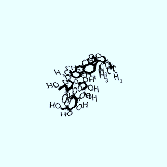 CC(C)=C[C@H]1CO[C@]23C[C@]4(CO2)C(CCC2[C@@]5(C)CC[C@H](O[C@@H]6OC(CO)[C@@H](O)C(O[C@@H]7OC(CO)[C@@H](O)C(O)[C@@H]7O)[C@@H]6O[C@@H]6O[C@@H](CO)C(O)[C@@H]6O)C(C)(C)C5CC[C@]24C)C3C1(C)O